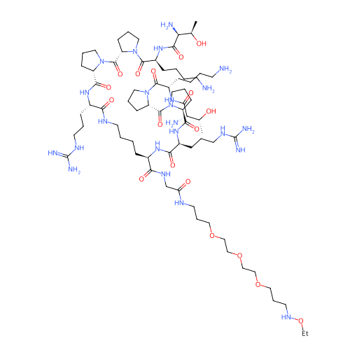 CCONCCCOCCOCCOCCCNC(=O)CNC(=O)[C@@H](CCCCNC(=O)[C@H](CCCNC(=N)N)NC(=O)[C@@H]1CCCN1C(=O)[C@@H]1CCCN1C(=O)[C@H](CCCCN)NC(=O)[C@@H](N)[C@@H](C)O)NC(=O)[C@H](CCCNC(=N)N)NC(=O)[C@@H]1CCCN1C(=O)[C@@H]1CCCN1C(=O)[C@H](CCCCN)NC(=O)[C@@H](N)[C@@H](C)O